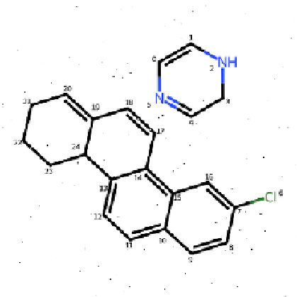 C1=CNCC=N1.Clc1ccc2ccc3c(c2c1)C=CC1=CCCCC13